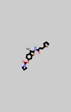 N#Cc1c(NC(=O)C=Cc2cccs2)sc2c1CCC(OC(=O)N1CCC1)C2